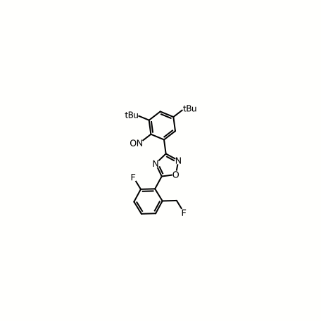 CC(C)(C)c1cc(-c2noc(-c3c(F)cccc3CF)n2)c(N=O)c(C(C)(C)C)c1